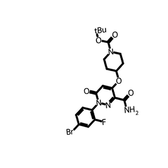 CC(C)(C)OC(=O)N1CCC(Oc2cc(=O)n(-c3ccc(Br)cc3F)nc2C(N)=O)CC1